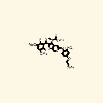 COCCOc1ccc(Nc2cc3c(N(C)C(=O)OC(C)(C)C)c(C(=O)c4c(F)c(OC)cc(OC)c4F)oc3cn2)c([N+](=O)[O-])c1